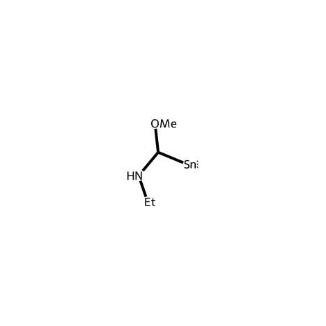 CCN[CH]([Sn])OC